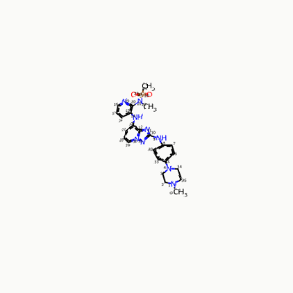 CN1CCN(c2ccc(Nc3nc4c(Nc5cccnc5N(C)S(C)(=O)=O)cccn4n3)cc2)CC1